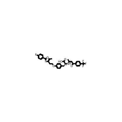 C/C(=C/C(=O)c1ccc(C(F)(F)F)cc1)N[C@@H](Cc1ccc(OCCc2nc(-c3ccc(F)cc3)oc2C)cc1)C(=O)O